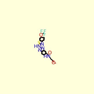 COCCCNC(=O)c1ccc2c(c1)nc(Nc1nc3ccc(OC(F)(F)F)cc3s1)n2C